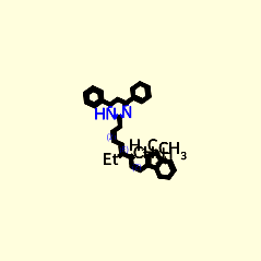 C=C(/C=C\C1=CC(C)(C)[C@@H]2C=CCCC12)/C(=C/C=C\CC1N=C(C2=CC=CCC2)CC(c2ccccc2)N1)CC